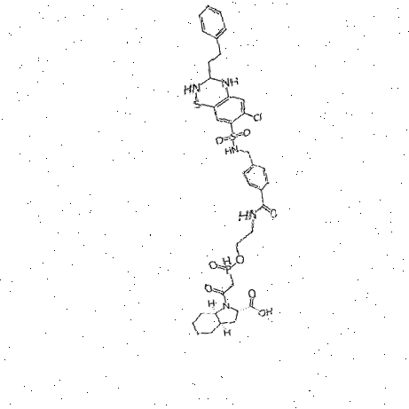 O=C(NCCO[PH](=O)CC(=O)N1[C@@H]2CCCC[C@@H]2C[C@H]1C(=O)O)c1ccc(CNS(=O)(=O)c2cc3c(cc2Cl)NC(CCc2ccccc2)NS3)cc1